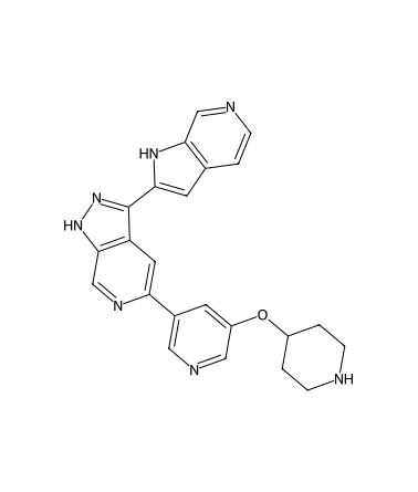 c1cc2cc(-c3n[nH]c4cnc(-c5cncc(OC6CCNCC6)c5)cc34)[nH]c2cn1